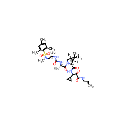 C=CCNC(=O)C(=O)C(NC(=O)[C@@H]1[C@@H]2[C@H](CN1C(=O)[C@@H](NC(=O)N[C@H](CN(C)S(=O)(=O)c1c(C)cc(C)cc1C)C(C)(C)C)C(C)(C)C)C2(C)C)C1CC1